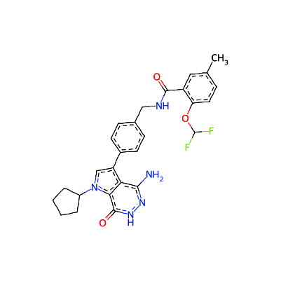 Cc1ccc(OC(F)F)c(C(=O)NCc2ccc(-c3cn(C4CCCC4)c4c(=O)[nH]nc(N)c34)cc2)c1